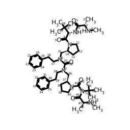 CN[C@@H](C)C(=O)N[C@H](C(=O)N1CCC[C@H]1CN(CCc1ccccc1)C(=O)N(CCc1ccccc1)C[C@@H]1CCCN1C(=O)N(C(=O)[C@H](C)NC)C(C)(C)C)C(C)(C)C